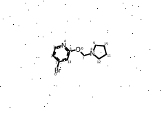 Brc1ccnc(OCN2CCCC2)c1